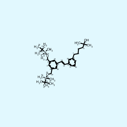 CC(C)(O)CCCCc1cccc(C=Cc2cc(CO[Si](C)(C)C(C)(C)C)cc(CO[Si](C)(C)C(C)(C)C)c2)c1